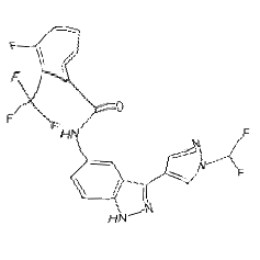 O=C(Nc1ccc2[nH]nc(-c3cnn(C(F)F)c3)c2c1)c1cccc(F)c1C(F)(F)F